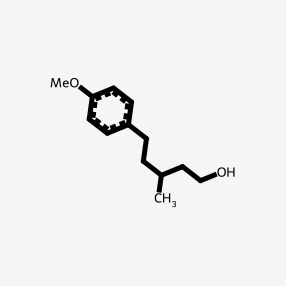 COc1ccc(CCC(C)CCO)cc1